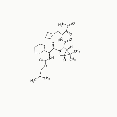 CC(C)COC(=O)N[C@H](C(=O)N1C[C@@H]2[C@H]([C@H]1C(=O)NC(CC1CCC1)C(=O)C(N)=O)C2(C)C)C1CCCCC1